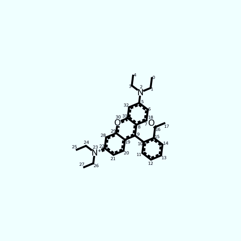 CCN(CC)c1ccc2c(-c3ccccc3C(C)=O)c3ccc(=[N+](CC)CC)cc-3oc2c1